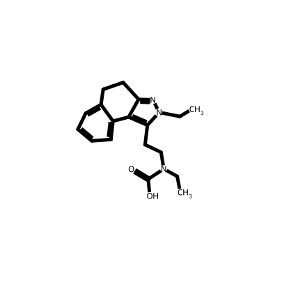 CCN(CCc1c2c(nn1CC)CCc1ccccc1-2)C(=O)O